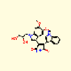 COc1cc2c(C3=C(c4c[nH]c5ccccc45)C(=O)NC3=O)cn(CC(O)CO)c2cc1OC